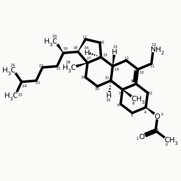 CC(=O)O[C@H]1CC[C@@]2(C)C(=C(CN)C[C@H]3[C@@H]4CC[C@H]([C@H](C)CCCC(C)C)[C@@]4(C)CC[C@@H]32)C1